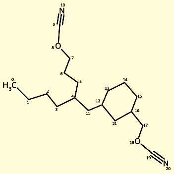 CCCCC(CCCOC#N)CC1CCCC(COC#N)C1